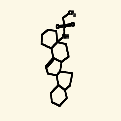 O=S(=O)(CC(F)(F)F)NC12CCCCC1C1=CCC3C4CCCCC4CCC3C1CC2